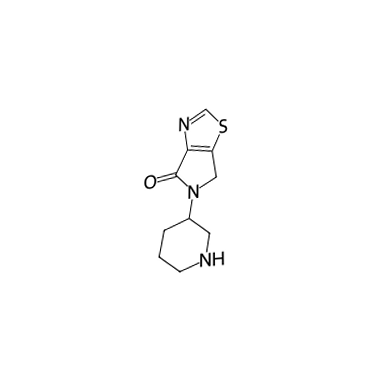 O=C1c2ncsc2CN1C1CCCNC1